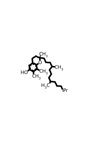 Cc1c(O)cc2c(c1C)O[C@@](C)(CCCC(C)CCCC(C)CCCC(C)C)CC2